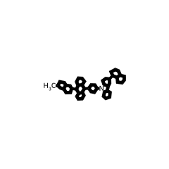 Cc1ccc2cc(-c3c4ccccc4c(-c4ccc(-n5c6ccccc6c6cc(-c7cccc8ccccc78)ccc65)cc4)c4ccccc34)ccc2c1